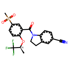 C[C@H](Oc1ccc(S(C)(=O)=O)cc1C(=O)N1CCc2cc(C#N)ccc21)C(F)(F)F